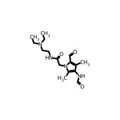 CCN(CC)CCNC(=O)Cn1c(C)c(NC=O)c(C)c1C=O